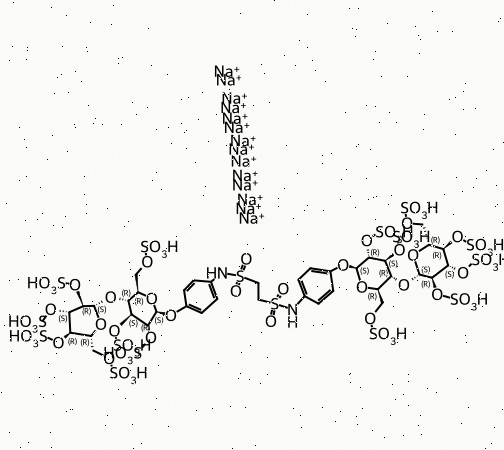 O=S(=O)(CCS(=O)(=O)Nc1ccc(O[C@@H]2O[C@H](COS(=O)(=O)O)[C@@H](O[C@@H]3O[C@H](COS(=O)(=O)O)[C@@H](OS(=O)(=O)O)[C@H](OS(=O)(=O)O)[C@H]3OS(=O)(=O)O)[C@H](OS(=O)(=O)O)[C@H]2OS(=O)(=O)O)cc1)Nc1ccc(O[C@@H]2O[C@H](COS(=O)(=O)O)[C@@H](O[C@@H]3O[C@H](COS(=O)(=O)O)[C@@H](OS(=O)(=O)O)[C@H](OS(=O)(=O)O)[C@H]3OS(=O)(=O)O)[C@H](OS(=O)(=O)O)[C@H]2OS(=O)(=O)O)cc1.[Na+].[Na+].[Na+].[Na+].[Na+].[Na+].[Na+].[Na+].[Na+].[Na+].[Na+].[Na+].[Na+].[Na+]